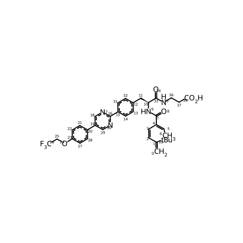 C=C(/C=C\C(=C/C)C(=O)N[C@@H](Cc1ccc(-c2ncc(-c3ccc(OCC(F)(F)F)cc3)cn2)cc1)C(=O)NCCC(=O)O)C(C)(C)C